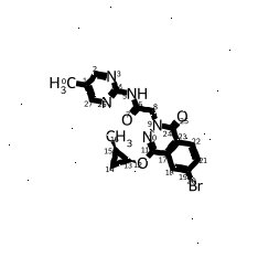 Cc1cnc(NC(=O)Cn2nc(O[C@@H]3C[C@H]3C)c3cc(Br)ccc3c2=O)nc1